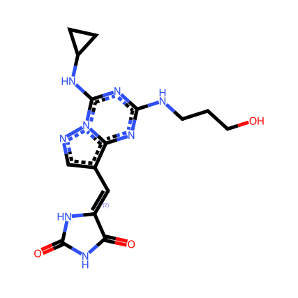 O=C1NC(=O)/C(=C/c2cnn3c(NC4CC4)nc(NCCCO)nc23)N1